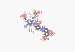 C=CS(=O)(=O)CCNc1nc(NCCOS(=O)(=O)O)c(/N=N/c2ccc(-n3nc4ccc5c(S(=O)(=O)O)cc(S(=O)(=O)O)cc5c4n3)cc2S(=O)(=O)O)c(C)c1C#N